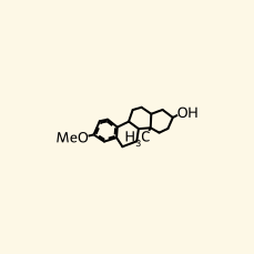 COc1ccc2c(c1)CCC1C2CCC2CC(O)CCC21C